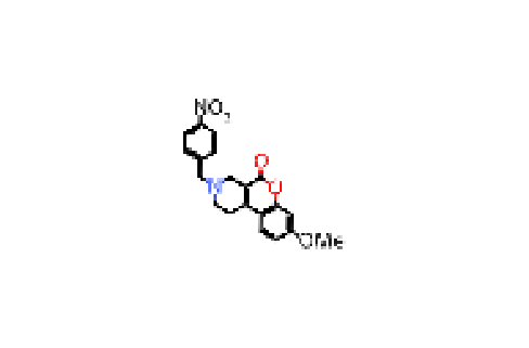 COc1ccc2c3c(c(=O)oc2c1)CN(Cc1ccc([N+](=O)[O-])cc1)CC3